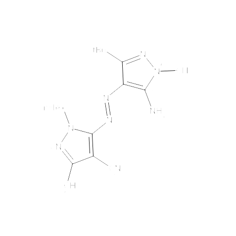 CCCCCCn1nc(C)c(C#N)c1N=Nc1c(C(C)(C)C)nn(C)c1N